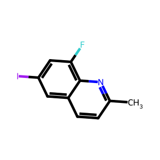 Cc1ccc2cc(I)cc(F)c2n1